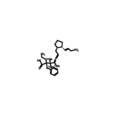 CC/C=C/[C@H]1CCC[C@@H]1CC=C=C([16OH])C([16OH])([16OH])C(OCC)(Oc1ccccc1)C(=O)O